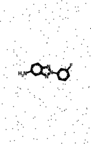 Nc1ccc2nn(-c3cccc(F)c3)nc2c1